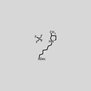 CCCCCCCCCCCCCCCC[NH+]1CCC(C)C1.F[B-](F)(F)F